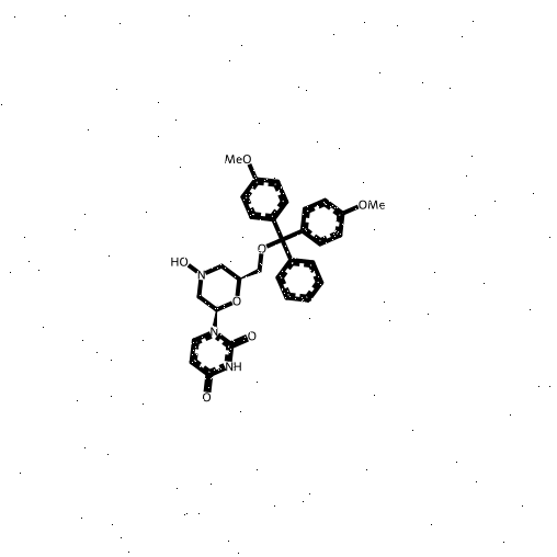 COc1ccc(C(OC[C@@H]2CN(O)C[C@H](n3ccc(=O)[nH]c3=O)O2)(c2ccccc2)c2ccc(OC)cc2)cc1